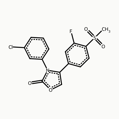 CS(=O)(=O)c1ccc(-c2coc(=O)n2-c2cccc(Cl)c2)cc1F